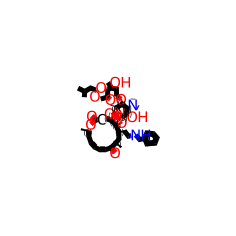 CO[C@@H]1[C@@H](O[C@@H]2O[C@H](C)[C@@H](OC3CC(C)(O)C(OC(=O)CC(C)C)C(C)O3)[C@H](N(C)C)[C@H]2O)[C@@H](CCNCc2ccccc2)C[C@@H](C)C(=O)C=CC=CC[C@@H](C)OC(=O)C[C@@H]1O